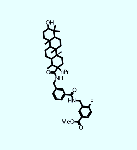 CCCC1(C(=O)NCc2cccc(C(=O)NCc3cc(C(=O)OC)ccc3F)c2)CC[C@]2(C)C(CCC3C4(C)CCC(O)C(C)(C)C4CCC32C)C1C